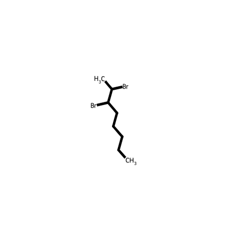 CCCCCC(Br)C(C)Br